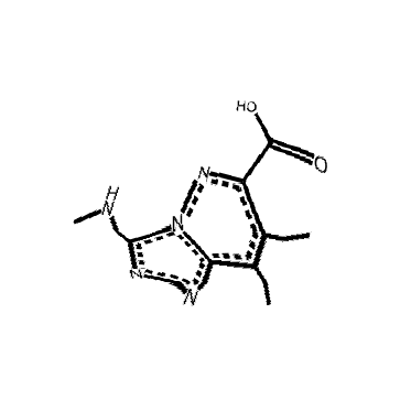 CNc1nnc2c(C)c(C)c(C(=O)O)nn12